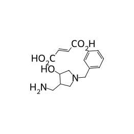 NCC1CN(Cc2ccccc2)CC1O.O=C(O)C=CC(=O)O